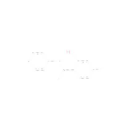 O=C(Oc1ccccc1)c1ccc(F)cc1O